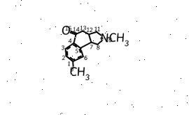 Cc1ccc2c(c1)C1CN(C)CC1CC2=O